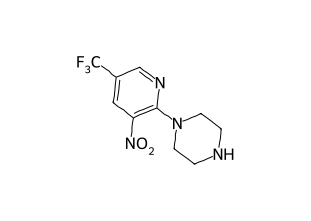 O=[N+]([O-])c1cc(C(F)(F)F)cnc1N1CCNCC1